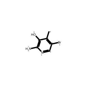 Cc1c(Br)cnc(N)c1O